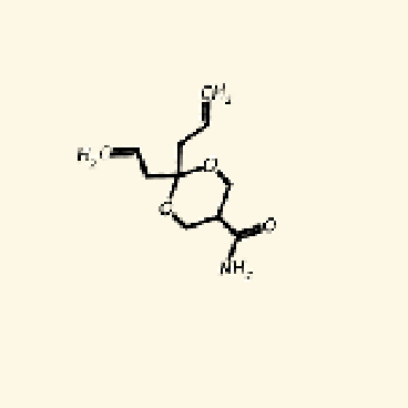 C=CCC1(CC=C)OCC(C(N)=O)CO1